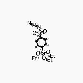 CCO[Si](OCC)(OCC)c1ccc(S(=O)(=O)N=[N+]=[N-])cc1